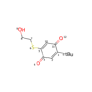 CC(C)(C)C1=CC(=O)C(SCCO)=CC1=O